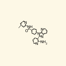 Cc1ccnc(NC(=O)c2ccc(-n3c(-c4cccnc4N)nc4cccnc43)cc2)c1